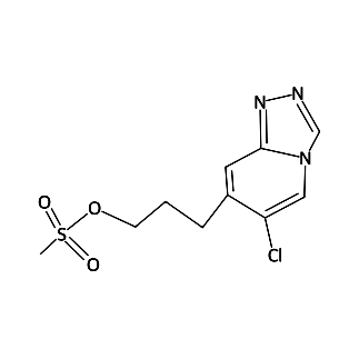 CS(=O)(=O)OCCCc1cc2nncn2cc1Cl